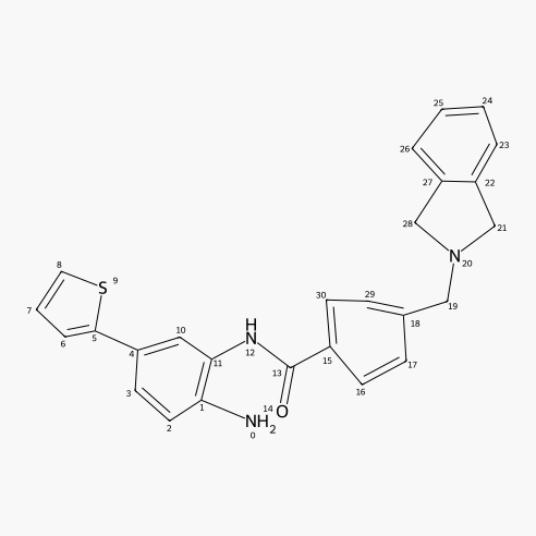 Nc1ccc(-c2cccs2)cc1NC(=O)c1ccc(CN2Cc3ccccc3C2)cc1